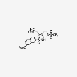 COc1ccc2ccc(S(=O)(=O)NC3CN(S(=O)(=O)C(F)(F)F)CCN3CCC=O)cc2c1.Cl